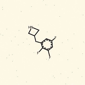 Fc1cc(F)c(F)c(CC2CNC2)c1